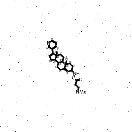 CNCCC(=O)ONC1C=C2CCC3C(CCC4(C)C(c5cccnc5)=CCC34)C2(C)CC1